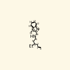 C=CCC(CC)CCNCc1nc2ccccc2n1C